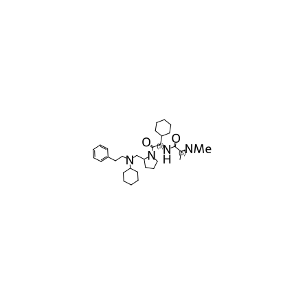 CN[C@@H](C)C(=O)N[C@H](C(=O)N1CCCC1CN(CCc1ccccc1)C1CCCCC1)C1CCCCC1